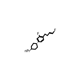 CCC[C@H]1CC[C@H](c2ccc(CCC=CF)c(F)c2)CC1